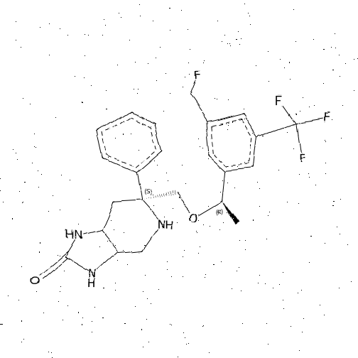 C[C@@H](OC[C@@]1(c2ccccc2)CC2NC(=O)NC2CN1)c1cc(CF)cc(C(F)(F)F)c1